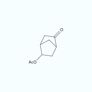 CC(=O)OC1CC2CC1CC2=O